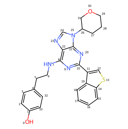 Oc1ccc(CCNc2nc(-c3csc4ccccc34)nc3c2ncn3C2CCCOC2)cc1